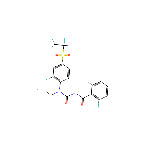 COCN(C(=O)NC(=O)c1c(F)cccc1F)c1ccc(S(=O)(=O)C(F)(F)C(F)F)cc1F